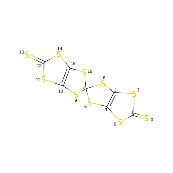 S=c1sc2c(s1)SC1(S2)Sc2sc(=S)sc2S1